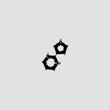 c1ccoc1.c1cncnc1